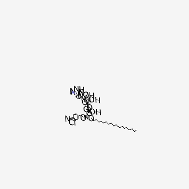 C=Nn1c(/C(N)=N\C)ccc1[C@@H]1O[C@](C)(COP(=O)(O)OC[C@@H](COCCCCCCCCCCCCCCCCCC)OCc2ccc(C#N)c(Cl)c2)[C@@H](O)[C@H]1O